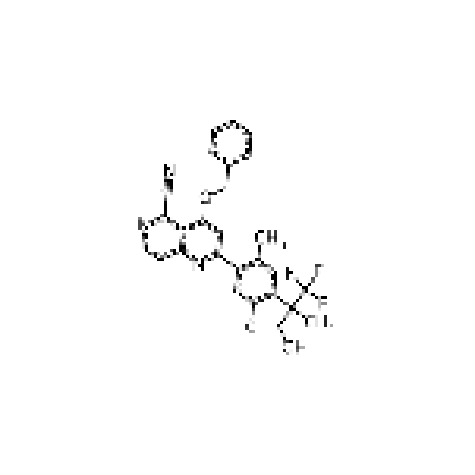 Cc1cc(C(C)(CO)C(F)(F)F)c(Cl)cc1-c1cc(OCc2ccccc2)c2c(C#N)nccc2n1